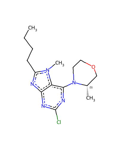 CCCCc1nc2nc(Cl)nc(N3CCOC[C@@H]3C)c2n1C